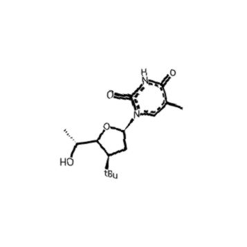 Cc1cn([C@H]2C[C@@H](C(C)(C)C)C([C@@H](C)O)O2)c(=O)[nH]c1=O